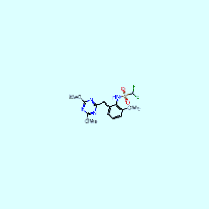 COc1nc(Cc2cccc(OC)c2NS(=O)(=O)C(F)F)nc(OC)n1